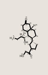 CCC[C@H](O)[C@H]1[C@H]([C@@H]2CCC(C(=O)CO)C2)CC[C@H]2CC(=O)CC[C@@]21C